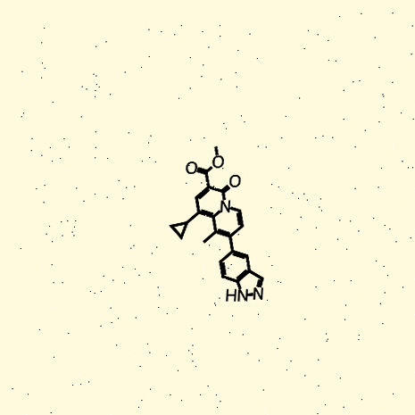 COC(=O)c1cc(C2CC2)c2c(C)c(-c3ccc4[nH]ncc4c3)ccn2c1=O